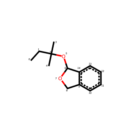 CCC(C)(C)OC1OCc2ccccc21